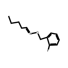 CCCCC=NOCc1ccccc1F